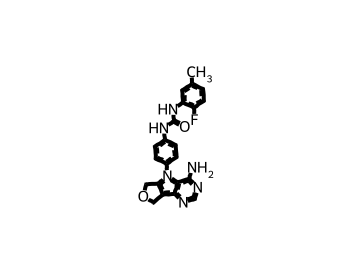 Cc1ccc(F)c(NC(=O)Nc2ccc(-n3c4c(c5ncnc(N)c53)COC4)cc2)c1